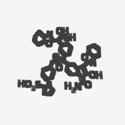 NC(=O)n1c(O)c(-c2nc3ccccc3o2)c2cc(N(c3ccc4[nH]c(O)c(-c5nc6ccccc6o5)c4c3)S(=O)(=O)Cc3ccccc3)ccc21.O=S(=O)(O)c1cccs1